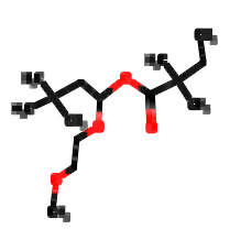 CCC(C)(C)C(=O)OC(CC(C)(C)C)OCCOC